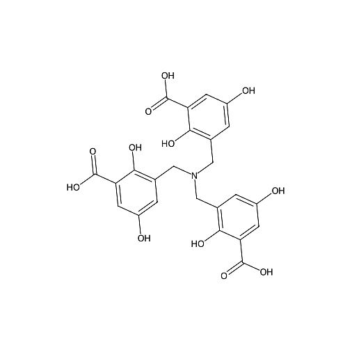 O=C(O)c1cc(O)cc(CN(Cc2cc(O)cc(C(=O)O)c2O)Cc2cc(O)cc(C(=O)O)c2O)c1O